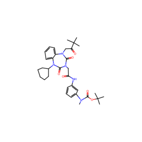 CN(C(=O)OC(C)(C)C)c1cccc(NC(=O)CN2C(=O)N(CC(=O)C(C)(C)C)c3ccccc3N(C3CCCCC3)C2=O)c1